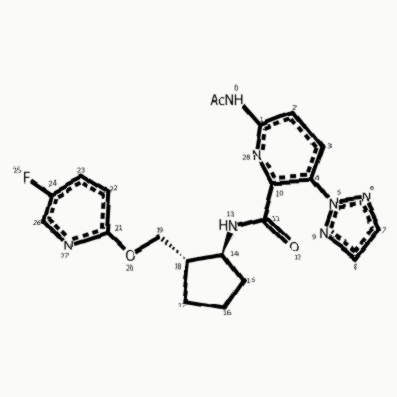 CC(=O)Nc1ccc(-n2nccn2)c(C(=O)N[C@H]2CCC[C@@H]2COc2ccc(F)cn2)n1